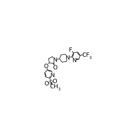 CS(=O)(=O)c1ccc(OC2CCN(C3CCN(c4ncc(C(F)(F)F)cc4F)CC3)C2=O)cn1